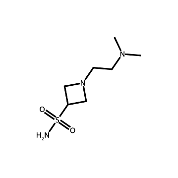 CN(C)CCN1CC(S(N)(=O)=O)C1